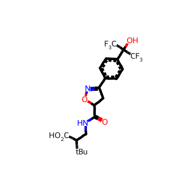 CC(C)(C)C(CNC(=O)C1CC(c2ccc(C(O)(C(F)(F)F)C(F)(F)F)cc2)=NO1)C(=O)O